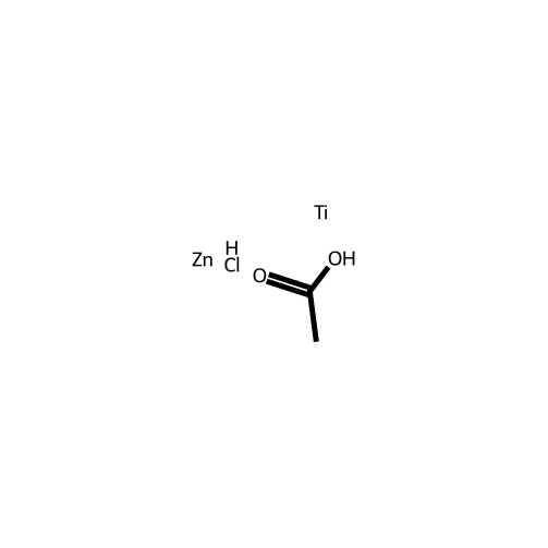 CC(=O)O.Cl.[Ti].[Zn]